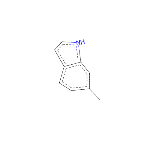 Cc1ccc2c[c][nH]c2c1